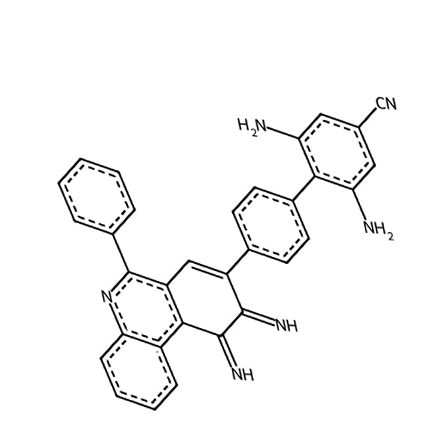 N#Cc1cc(N)c(-c2ccc(C3=Cc4c(-c5ccccc5)nc5ccccc5c4C(=N)C3=N)cc2)c(N)c1